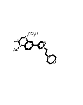 CC(=O)N1c2ccc(-c3cnn(CCN4CCOCC4)c3)cc2N(C(=O)O)C[C@@H]1C